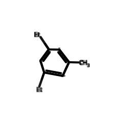 CCc1[c]c(C)[c]c(CC)c1